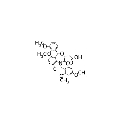 COc1ccc(CN2C(=O)[C@@H](CC(=O)O)O[C@H](c3cccc(OC)c3OC)c3cccc(Cl)c32)c(OC)c1